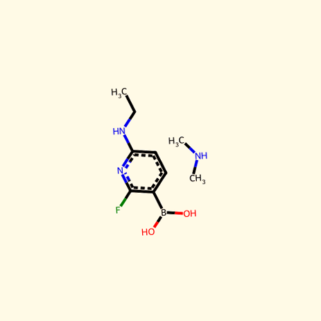 CCNc1ccc(B(O)O)c(F)n1.CNC